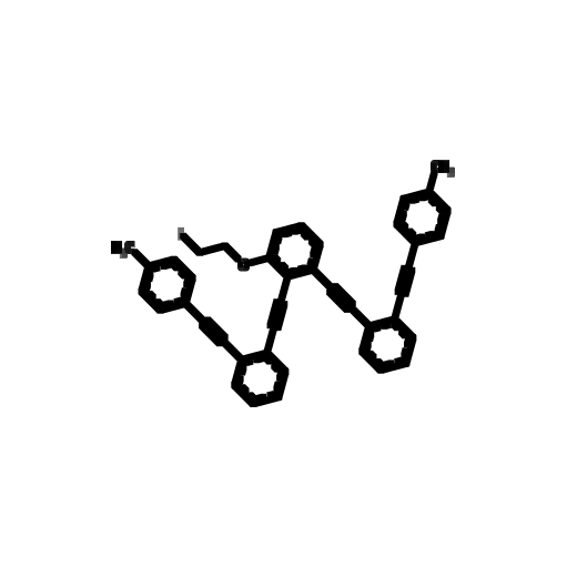 Cc1ccc(C#Cc2ccccc2C#Cc2cccc(OCCI)c2C#Cc2ccccc2C#Cc2ccc(C)cc2)cc1